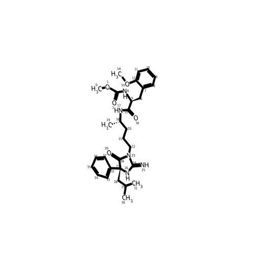 COC(=O)N[C@@H](Cc1ccccc1OC)C(=O)N[C@@H](C)CCCN1C(=N)N[C@](CC(C)C)(c2ccccc2)C1=O